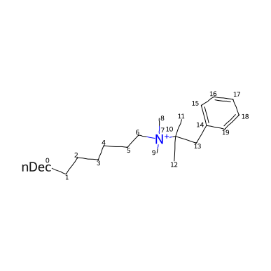 CCCCCCCCCCCCCCCC[N+](C)(C)C(C)(C)Cc1ccccc1